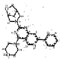 c1ccc(-c2cc3nc(N4CC5COC(C5)C4)nc(N4CCOCC4)c3cn2)cc1